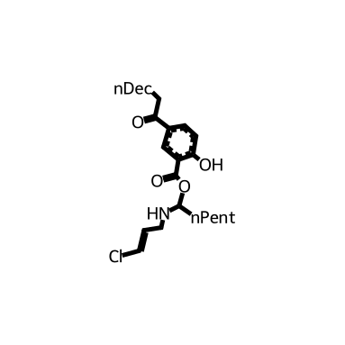 CCCCCCCCCCCC(=O)c1ccc(O)c(C(=O)OC(CCCCC)NCC=CCl)c1